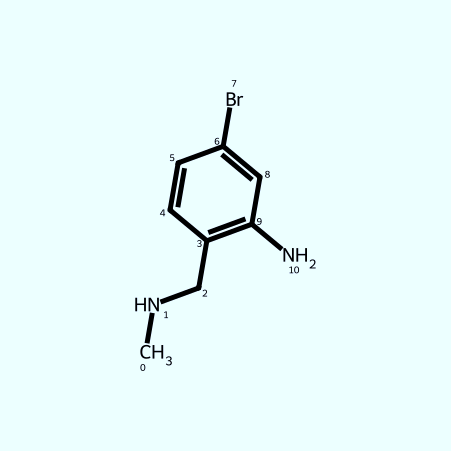 CNCc1ccc(Br)cc1N